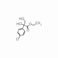 CCOC(=O)C(O)(CO)c1ccc(Cl)cc1